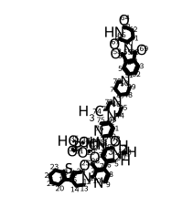 [2H]C([2H])([2H])n1cc(-c2ccnc(N3CCc4c(sc5c4CCCC5)C3=O)c2COC(C)OP(=O)(O)O)cc(Nc2ccc(N3CCN(C4CCN(c5ccc6c(c5)C(=O)N(C5CCC(=O)NC5=O)C6=O)CC4)C[C@@H]3C)cn2)c1=O